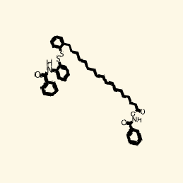 O=C(CCCCCCCCCCCCCCCCCc1ccccc1SSc1ccccc1NC(=O)c1ccccc1)ONC(=O)c1ccccc1